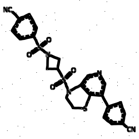 N#Cc1ccc(-c2cncc3c2SCCN3S(=O)(=O)C2CN(S(=O)(=O)c3ccc(C#N)cc3)C2)cc1